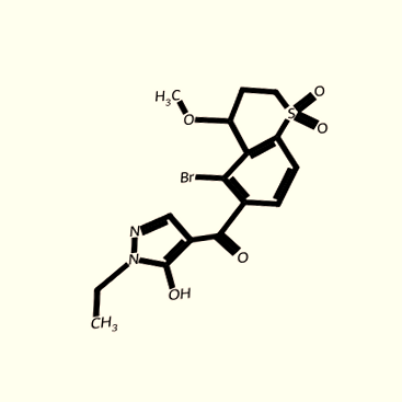 CCn1ncc(C(=O)c2ccc3c(c2Br)C(OC)CCS3(=O)=O)c1O